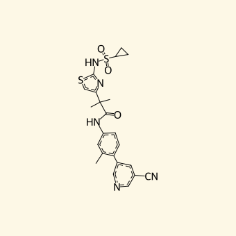 Cc1cc(NC(=O)C(C)(C)c2csc(NS(=O)(=O)C3CC3)n2)ccc1-c1cncc(C#N)c1